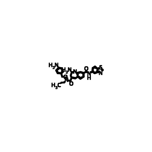 CCCN(OCc1ccc(N)cc1)C(=O)C1=Cc2ccc(C(=O)Nc3ccc4scnc4c3)cc2N=C(N)C1